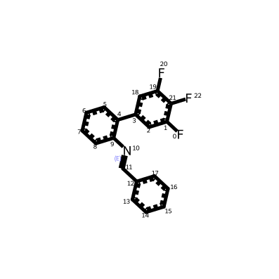 Fc1cc(-c2ccccc2/N=C/c2ccccc2)cc(F)c1F